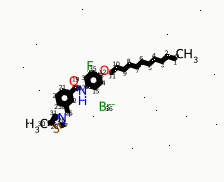 CCCCCCCCCCCCOc1ccc(NC(=O)c2cccc(C[n+]3csc(C)c3)c2)cc1F.[Br-]